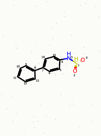 O=[SH](=O)Nc1ccc(-c2ccccc2)cc1